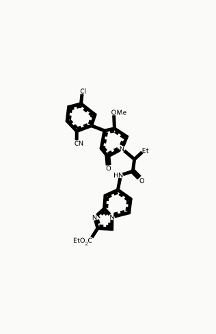 CCOC(=O)c1cn2ccc(NC(=O)C(CC)n3cc(OC)c(-c4cc(Cl)ccc4C#N)cc3=O)cc2n1